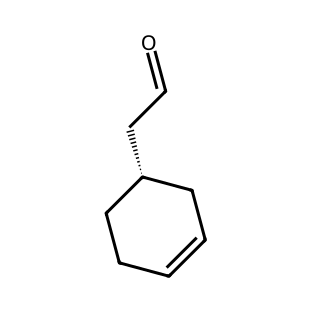 O=CC[C@@H]1CC=CCC1